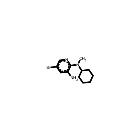 CN(c1ncc(Br)cc1N)C1CCCCC1